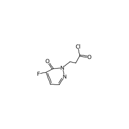 O=C(Cl)CCn1nccc(F)c1=O